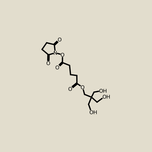 O=C(CCCC(=O)ON1C(=O)CCC1=O)OCC(CO)(CO)CO